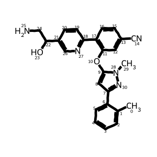 Cc1ccccc1-c1cc(Oc2cc(C#N)ccc2-c2ccc(C(O)CN)cn2)n(C)n1